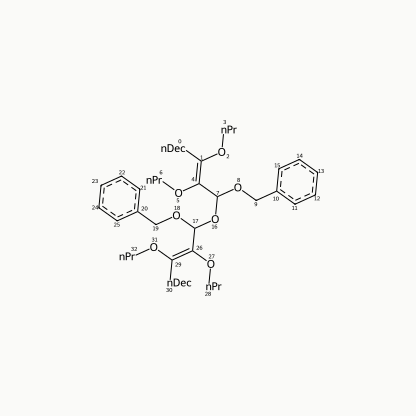 CCCCCCCCCCC(OCCC)=C(OCCC)C(OCc1ccccc1)OC(OCc1ccccc1)C(OCCC)=C(CCCCCCCCCC)OCCC